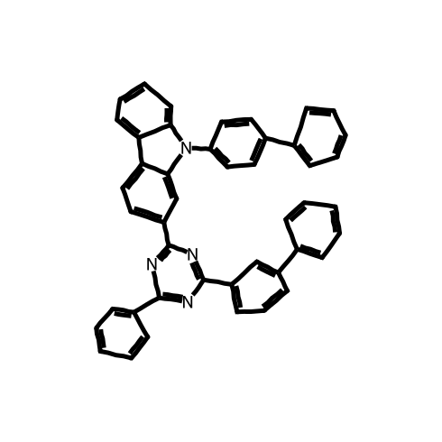 c1ccc(-c2ccc(-n3c4ccccc4c4ccc(-c5nc(-c6ccccc6)nc(-c6cccc(-c7ccccc7)c6)n5)cc43)cc2)cc1